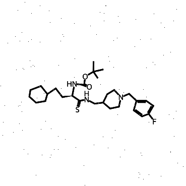 CC(C)(C)OC(=O)N[C@H](CCC1CCCCC1)C(=S)NCC1CCN(Cc2ccc(F)cc2)CC1